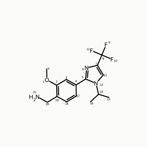 COc1cc(-c2nc(C(F)(F)F)cn2C(C)C)ccc1CN